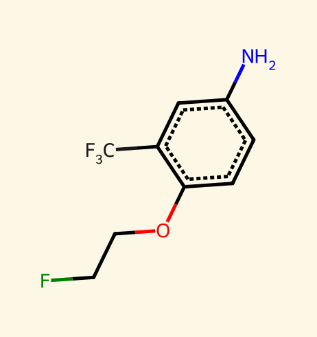 Nc1ccc(OCCF)c(C(F)(F)F)c1